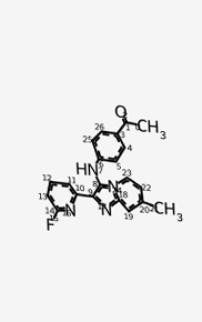 CC(=O)c1ccc(Nc2c(-c3cccc(F)n3)nc3cc(C)ccn23)cc1